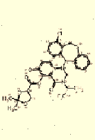 C[C@@H](N1CN([C@@H]2c3ccccc3SCc3c(Cl)cccc32)n2ccc(=O)c(OC(=O)[C@H]3COC(C)(C)O3)c2C1=O)C(F)(F)F